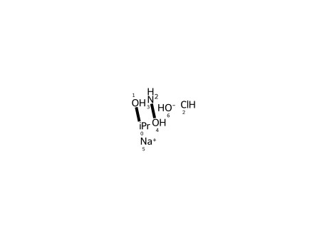 CC(C)O.Cl.NO.[Na+].[OH-]